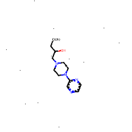 COCC(O)CN1CCN(c2cnccn2)CC1